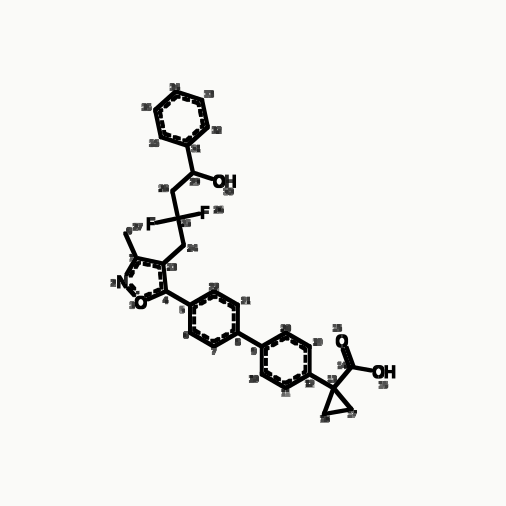 Cc1noc(-c2ccc(-c3ccc(C4(C(=O)O)CC4)cc3)cc2)c1CC(F)(F)CC(O)c1ccccc1